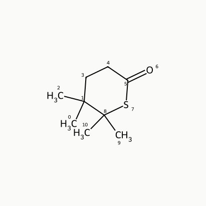 CC1(C)CCC(=O)SC1(C)C